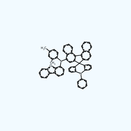 Cc1ccc(N(c2cc3c(c4ccccc24)-c2c(ccc4ccccc24)C32c3ccccc3N(c3ccccc3)c3ccccc32)c2cccc3c2oc2ccccc23)c(C)c1